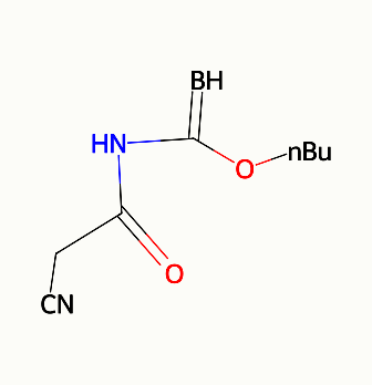 B=C(NC(=O)CC#N)OCCCC